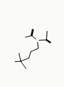 CC(=O)N(CCCC(C)(C)C)C(C)=O